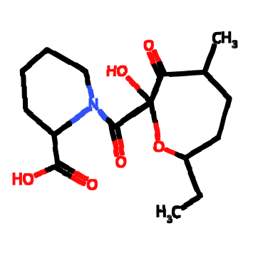 CCC1CCC(C)C(=O)C(O)(C(=O)N2CCCCC2C(=O)O)O1